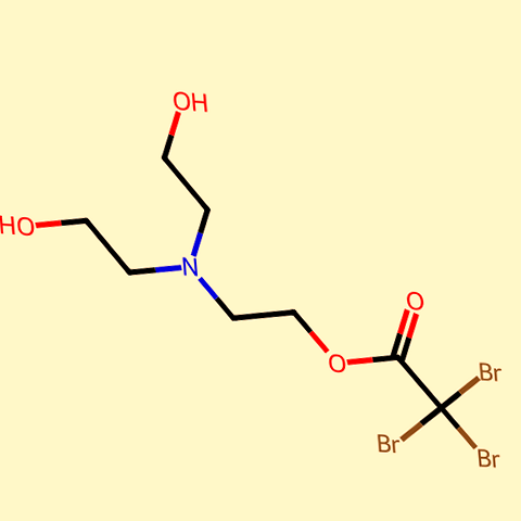 O=C(OCCN(CCO)CCO)C(Br)(Br)Br